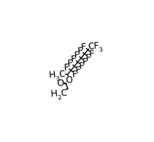 C=CC(=O)OC(C)C(F)(F)C(F)(F)C(F)(F)C(F)(F)C(F)(F)C(F)(F)C(F)(F)F